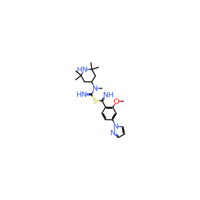 COc1cc(-n2cccn2)ccc1C(=N)SC(=N)N(C)C1CC(C)(C)NC(C)(C)C1